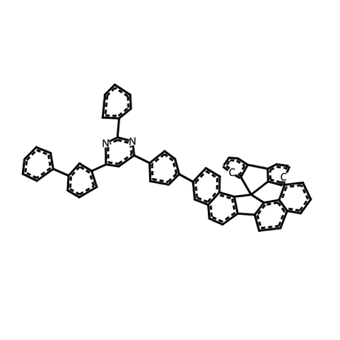 c1ccc(-c2cccc(-c3cc(-c4ccc(-c5ccc6c7c(ccc6c5)-c5ccc6ccccc6c5C75c6ccccc6-c6ccccc65)cc4)nc(-c4ccccc4)n3)c2)cc1